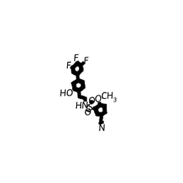 COc1ccc(C#N)cc1S(=O)(=O)NCCc1ccc(-c2cc(F)c(F)c(F)c2)cc1O